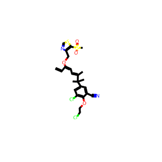 C=C/C(=C\C=C(/C)C(C)(C)c1cc(Cl)c(OCCCl)c(C#N)c1)OCc1ncsc1S(C)(=O)=O